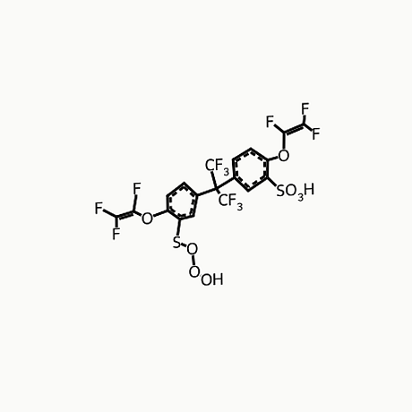 O=S(=O)(O)c1cc(C(c2ccc(OC(F)=C(F)F)c(SOOO)c2)(C(F)(F)F)C(F)(F)F)ccc1OC(F)=C(F)F